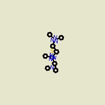 c1ccc(-c2nc(-c3ccccc3)nc(-c3ccc4sc5c(-c6nc(-c7ccccc7)nc(-c7ccc8c9ccccc9n(-c9ccccc9)c8c7)n6)cccc5c4c3)n2)cc1